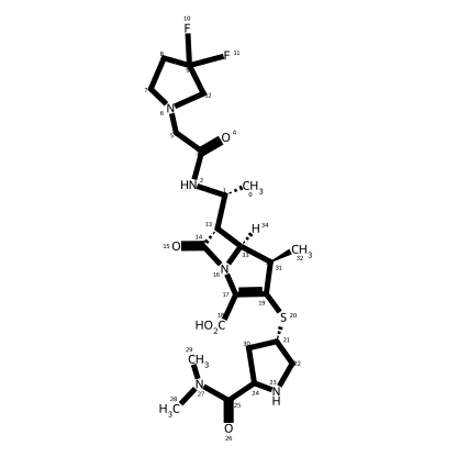 C[C@@H](NC(=O)CN1CCC(F)(F)C1)[C@H]1C(=O)N2C(C(=O)O)=C(S[C@@H]3CNC(C(=O)N(C)C)C3)[C@H](C)[C@H]12